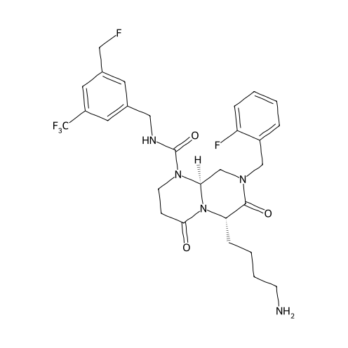 NCCCC[C@H]1C(=O)N(Cc2ccccc2F)C[C@@H]2N(C(=O)NCc3cc(CF)cc(C(F)(F)F)c3)CCC(=O)N21